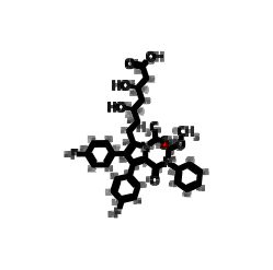 COC(=O)N(C(=O)c1c(-c2ccc(F)cc2)c(-c2ccc(F)cc2)c(CC[C@@H](O)C[C@@H](O)CC(=O)O)n1C(C)C)c1ccccc1